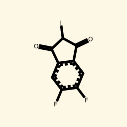 O=C1c2cc(F)c(F)cc2C(=O)C1I